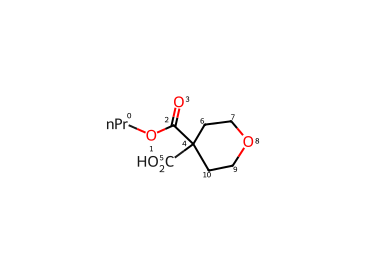 CCCOC(=O)C1(C(=O)O)CCOCC1